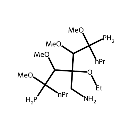 CCCC(P)(OC)C(OC)C(CN)(OCC)C(OC)C(P)(CCC)OC